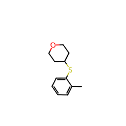 Cc1ccccc1SC1CCOCC1